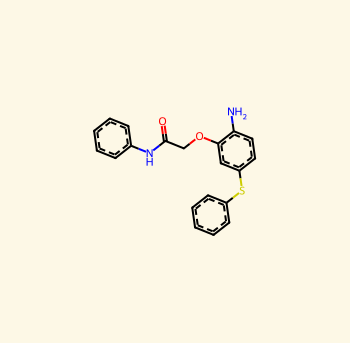 Nc1ccc(Sc2ccccc2)cc1OCC(=O)Nc1ccccc1